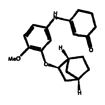 COc1ccc(NC2=CC(=O)CCC2)cc1O[C@@H]1C[C@H]2CC[C@@H]1C2